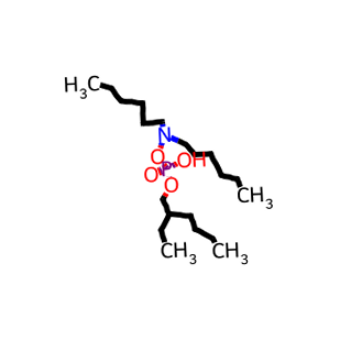 CCCCCCN(CCCCCC)OP(=O)(O)OCC(CC)CCCC